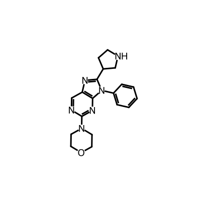 c1ccc(-n2c(C3CCNC3)nc3cnc(N4CCOCC4)nc32)cc1